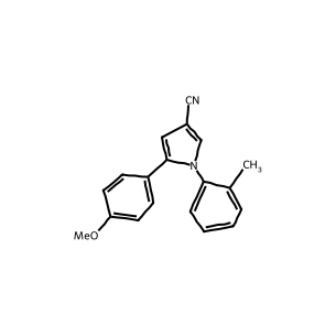 COc1ccc(-c2cc(C#N)cn2-c2ccccc2C)cc1